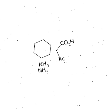 C1CCCCC1.CC(=O)CC(=O)O.N.N